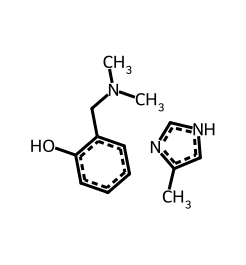 CN(C)Cc1ccccc1O.Cc1c[nH]cn1